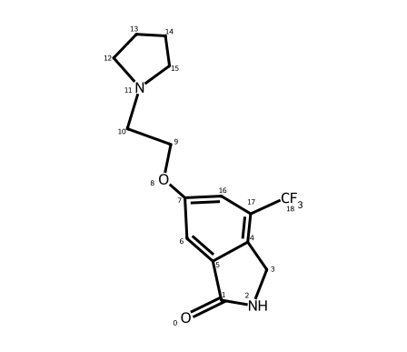 O=C1NCc2c1cc(OCCN1CCCC1)cc2C(F)(F)F